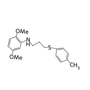 COc1ccc(OC)c(NCCCSc2ccc(C)cc2)c1